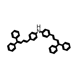 C(=Cc1ccc(Nc2ccc(C=CC=C(c3ccccc3)c3ccccc3)cc2)cc1)C=C(c1ccccc1)c1ccccc1